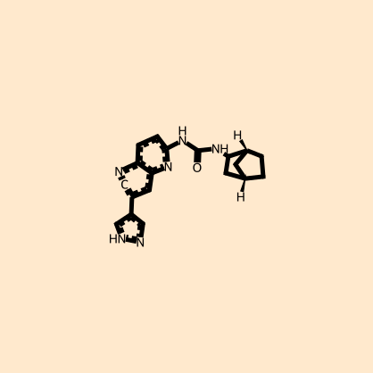 O=C(Nc1ccc2ncc(-c3cn[nH]c3)cc2n1)NC1C[C@H]2CC[C@@H]1C2